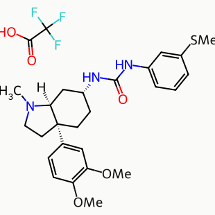 COc1ccc([C@@]23CC[C@@H](NC(=O)Nc4cccc(SC)c4)C[C@@H]2N(C)CC3)cc1OC.O=C(O)C(F)(F)F